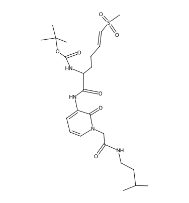 CC(C)CCNC(=O)Cn1cccc(NC(=O)C(CCC=CS(C)(=O)=O)NC(=O)OC(C)(C)C)c1=O